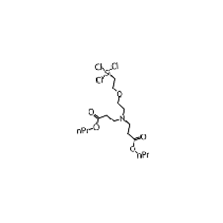 CCCOC(=O)CCN(CCOCC[Si](Cl)(Cl)Cl)CCC(=O)OCCC